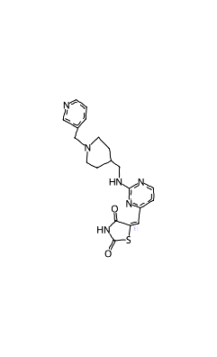 O=C1NC(=O)/C(=C\c2ccnc(NCC3CCN(Cc4cccnc4)CC3)n2)S1